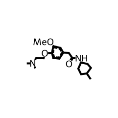 COc1cc(CC(=O)NC2CCC(C)CC2)ccc1OCCN(C)C